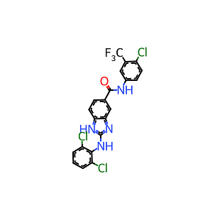 O=C(Nc1ccc(Cl)c(C(F)(F)F)c1)c1ccc2[nH]c(Nc3c(Cl)cccc3Cl)nc2c1